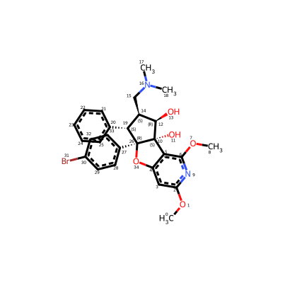 COc1cc2c(c(OC)n1)[C@]1(O)[C@H](O)[C@H](CN(C)C)[C@@H](c3ccccc3)[C@]1(c1ccc(Br)cc1)O2